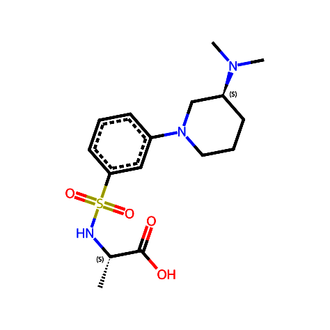 C[C@H](NS(=O)(=O)c1cccc(N2CCC[C@H](N(C)C)C2)c1)C(=O)O